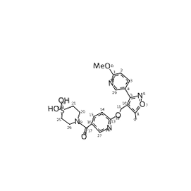 COc1ccc(-c2noc(C)c2COc2ccc(C(=O)N3CCS(O)(O)CC3)cn2)cn1